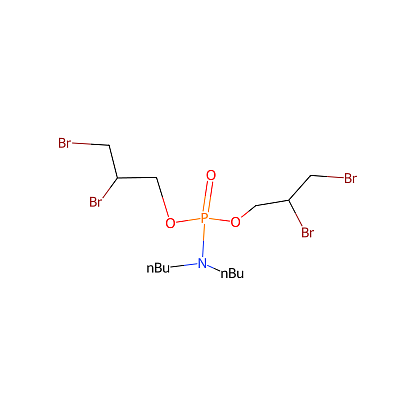 CCCCN(CCCC)P(=O)(OCC(Br)CBr)OCC(Br)CBr